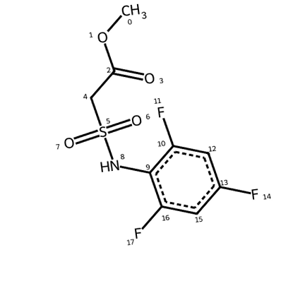 COC(=O)CS(=O)(=O)Nc1c(F)cc(F)cc1F